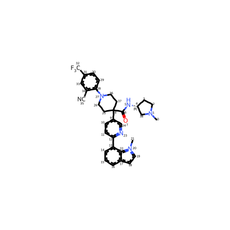 CN1CC[C@@H](NC(=O)C2(c3ccc(-c4cccc5ccn(C)c45)nc3)CCN(c3ccc(C(F)(F)F)cc3C#N)CC2)C1